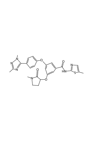 Cc1nc(-c2ccc(Oc3cc(OC4CCN(C)C4=O)cc(C(=O)Nc4ncc(C)s4)c3)cc2)n(C)n1